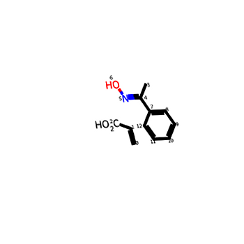 C=CC(=O)O.CC(=NO)c1ccccc1